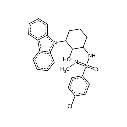 CN=S(=O)(NC1CCCC(n2c3ccccc3c3ccccc32)C1O)c1ccc(Cl)cc1